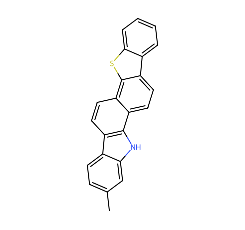 Cc1ccc2c(c1)[nH]c1c2ccc2c1ccc1c3ccccc3sc12